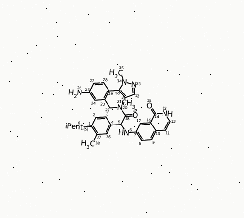 CCC[C@H](C)c1ccc(C(Nc2ccc3cc[nH]c(=O)c3c2)C(=O)N(C)Cc2cc(N)ccc2-c2ccnn2C)cc1C